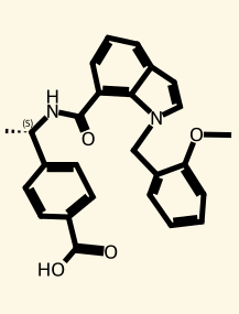 COc1ccccc1Cn1ccc2cccc(C(=O)N[C@@H](C)c3ccc(C(=O)O)cc3)c21